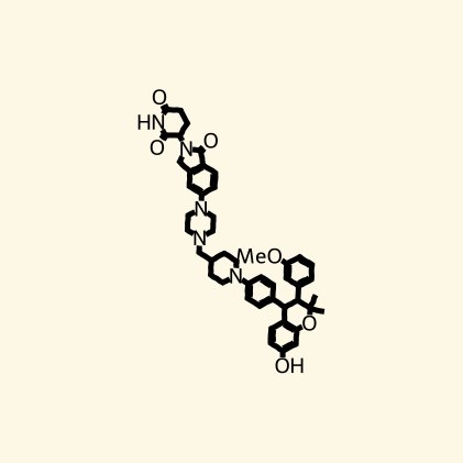 COc1cccc(C2C(c3ccc(N4CCC(CN5CCN(c6ccc7c(c6)CN(C6CCC(=O)NC6=O)C7=O)CC5)CC4)cc3)c3ccc(O)cc3OC2(C)C)c1